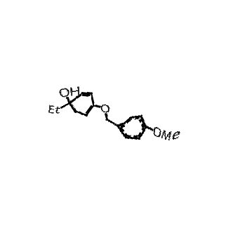 CCC1(O)C=CC(OCc2ccc(OC)cc2)=CC1